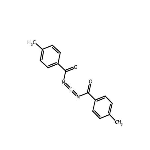 Cc1ccc(C(=O)N=C=NC(=O)c2ccc(C)cc2)cc1